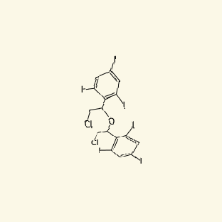 ClCC(OC(CCl)c1c(I)cc(I)cc1I)c1c(I)cc(I)cc1I